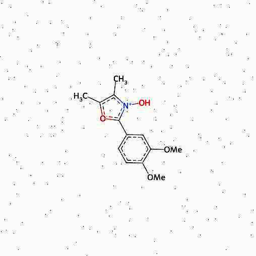 COc1ccc(-c2oc(C)c(C)[n+]2O)cc1OC